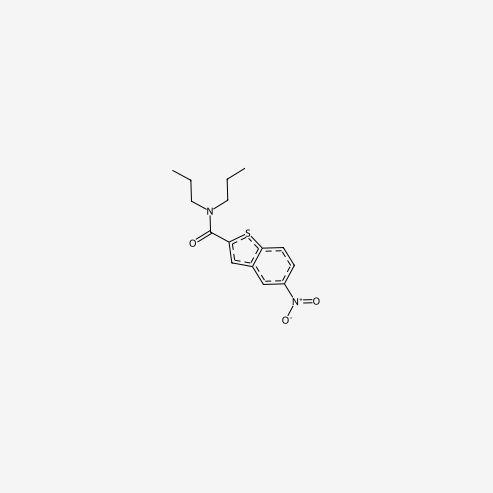 CCCN(CCC)C(=O)c1cc2cc([N+](=O)[O-])ccc2s1